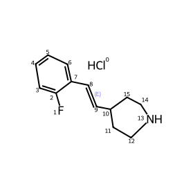 Cl.Fc1ccccc1/C=C/C1CCNCC1